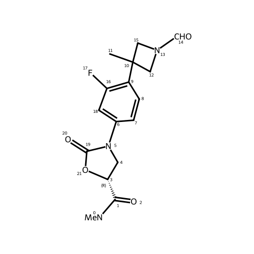 CNC(=O)[C@H]1CN(c2ccc(C3(C)CN(C=O)C3)c(F)c2)C(=O)O1